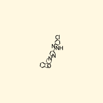 Clc1ccc2[nH]c(-c3ccc(N4CCC5(CC4)OCc4ccccc45)nc3)nc2c1